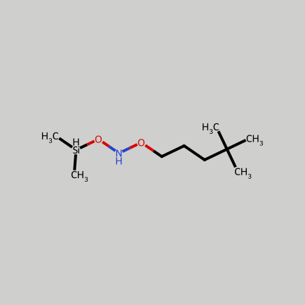 C[SiH](C)ONOCCCC(C)(C)C